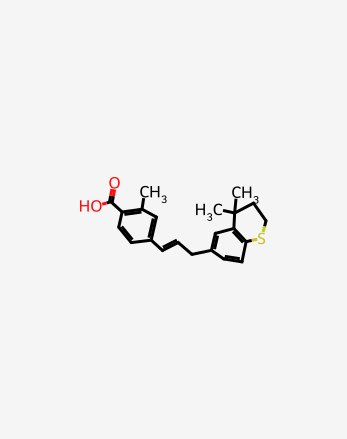 Cc1cc(/C=C/Cc2ccc3c(c2)C(C)(C)CCS3)ccc1C(=O)O